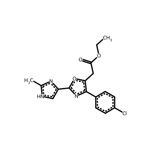 CCOC(=O)Cc1oc(-c2c[nH]c(C)n2)nc1-c1ccc(Cl)cc1